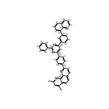 Cc1cc(C)c2ccc3ccc(-c4ccc(-c5cc(-c6cccc(-c7cccc8cccnc78)c6)nc(-c6ccccc6)n5)cc4)nc3c2n1